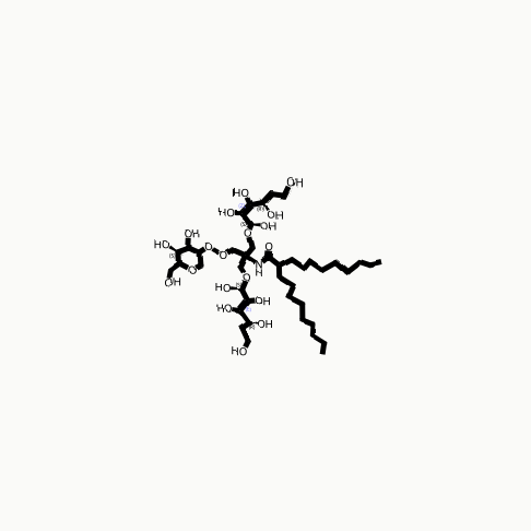 CCCCCCCCCC(CCCCCCCCC)C(=O)NC(COOC1COC(CO)[C@@H](O)C1O)(CO[C@H](O)/C(O)=C(/O)[C@H](O)CCO)CO[C@H](O)/C(O)=C(\O)[C@H](O)CCO